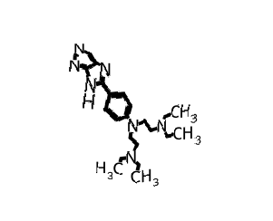 CCN(CC)CCN(CCN(CC)CC)c1ccc(-c2nc3cncnc3[nH]2)cc1